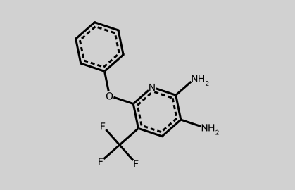 Nc1cc(C(F)(F)F)c(Oc2ccccc2)nc1N